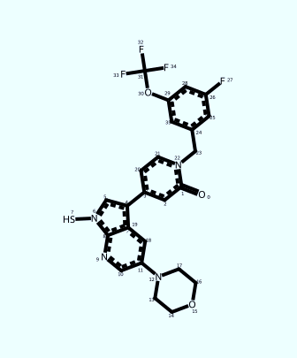 O=c1cc(-c2cn(S)c3ncc(N4CCOCC4)cc23)ccn1Cc1cc(F)cc(OC(F)(F)F)c1